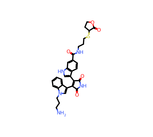 NCCCn1cc(C2=C(c3c[nH]c4cc(C(=O)NCCCSC5CCOC5=O)ccc34)C(=O)NC2=O)c2ccccc21